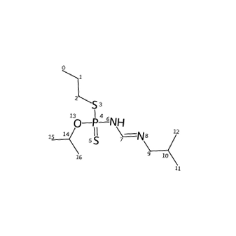 CCCSP(=S)(NC=NCC(C)C)OC(C)C